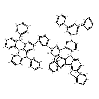 c1ccc(-c2cc(-c3cc(-c4nc(-c5ccccc5)nc(-c5ccccc5)n4)ccc3-n3c4ccccc4c4c5sc6ccccc6c5ccc43)nc(-c3cccc(-c4cc5c6c(c4)N(c4ccccc4)c4ccccc4B6c4ccccc4N5c4ccccc4)c3)n2)cc1